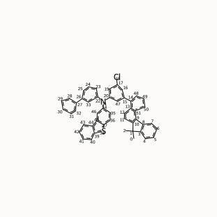 CC1(C)c2ccccc2-c2c1ccc1c(-c3cc(Cl)cc(N(c4cccc(-c5ccccc5)c4)c4ccc5sc6ccccc6c5c4)c3)cccc21